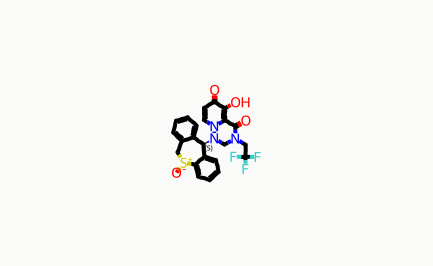 O=C1c2c(O)c(=O)ccn2N([C@H]2c3ccccc3C[S+]([O-])c3ccccc32)CN1CC(F)(F)F